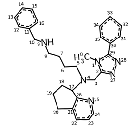 Cn1c(CN(CCCCNCc2ccccc2)C2CCCc3cccnc32)nnc1-c1ccccc1